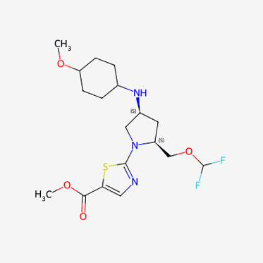 COC(=O)c1cnc(N2C[C@@H](NC3CCC(OC)CC3)C[C@H]2COC(F)F)s1